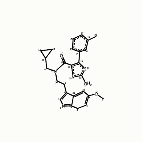 COC1=CCC2=NC=C(CCN(CC3CC3)C(=O)c3nc(N)sc3-c3cccc(C)c3)C2=C1